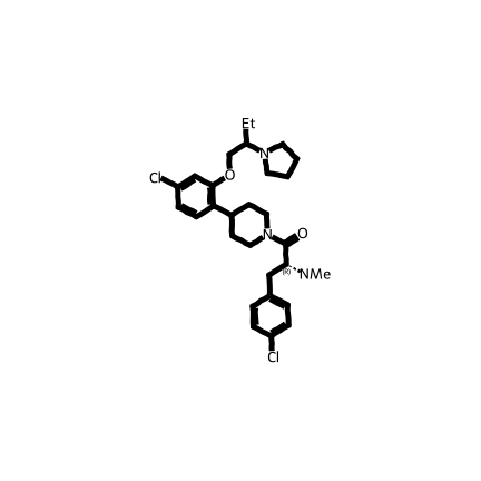 CCC(COc1cc(Cl)ccc1C1CCN(C(=O)[C@@H](Cc2ccc(Cl)cc2)NC)CC1)N1CCCC1